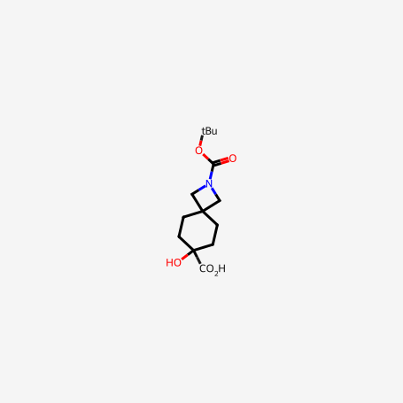 CC(C)(C)OC(=O)N1CC2(CCC(O)(C(=O)O)CC2)C1